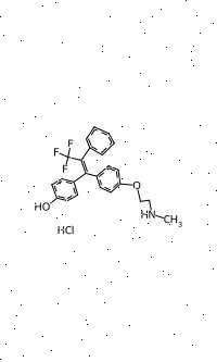 CNCCOc1ccc(/C(=C(\c2ccccc2)C(F)(F)F)c2ccc(O)cc2)cc1.Cl